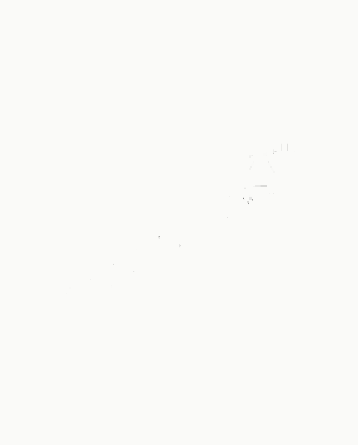 CC(C)CCCCCCCCCCCCCCNc1ccc(C=O)cc1